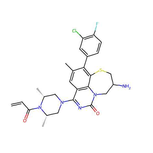 C=CC(=O)N1[C@H](C)CN(c2nc(=O)n3c4c(c(-c5ccc(F)c(Cl)c5)c(C)cc24)SCC(N)C3)C[C@@H]1C